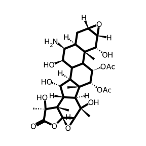 CC(=O)O[C@H]1C2C([C@@H](O)[C@@H](N)[C@H]3C[C@@H]4O[C@@H]4[C@H](O)[C@]23C)[C@@H]2[C@@H](O)[C@@H]3[C@H]([C@](C)(O)[C@H]4O[C@]45OC(=O)[C@@](C)(O)[C@]35C)[C@@]2(C)[C@H]1OC(C)=O